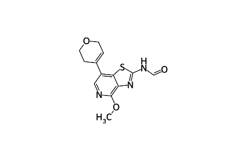 COc1ncc(C2=CCOCC2)c2sc(NC=O)nc12